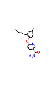 CCCCCc1cc(C)ccc1Oc1ccc(C(N)=O)cn1